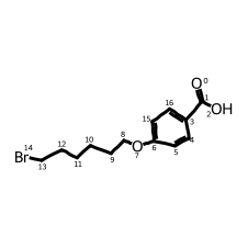 O=C(O)c1ccc(OCCCCCCBr)cc1